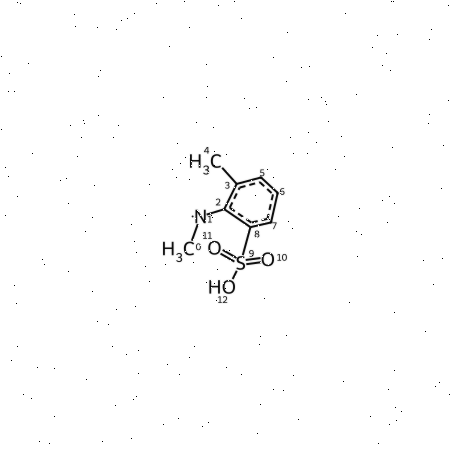 C[N]c1c(C)cccc1S(=O)(=O)O